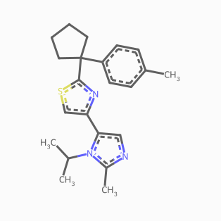 Cc1ccc(C2(c3nc(-c4cnc(C)n4C(C)C)cs3)CCCC2)cc1